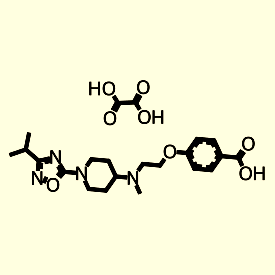 CC(C)c1noc(N2CCC(N(C)CCOc3ccc(C(=O)O)cc3)CC2)n1.O=C(O)C(=O)O